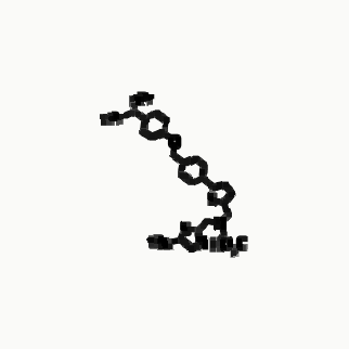 CCCC(CCC)c1ccc(OCc2ccc(-c3ccc(CN(CC(=O)O)Cc4ncc(C(C)(C)C)s4)s3)cc2)cc1